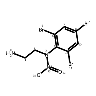 NCCN(c1c(Br)cc(Br)cc1Br)[N+](=O)[O-]